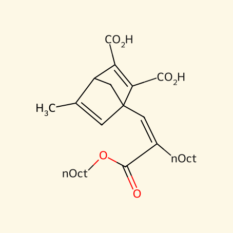 CCCCCCCCOC(=O)C(=CC12C=C(C)C(C1)C(C(=O)O)=C2C(=O)O)CCCCCCCC